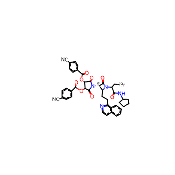 CC(C)CC(C(=O)NC1CCCC1)N1C(=O)[C@@H](N2C(=O)C(OC(=O)c3ccc(C#N)cc3)C(OC(=O)c3ccc(C#N)cc3)C2=O)C1CCc1nccc2ccccc12